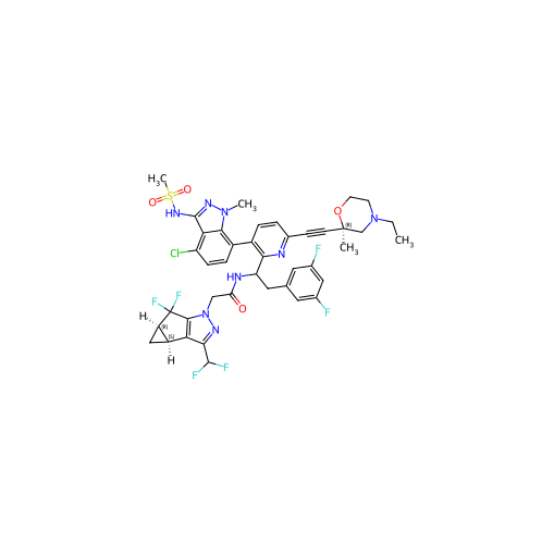 CCN1CCO[C@](C)(C#Cc2ccc(-c3ccc(Cl)c4c(NS(C)(=O)=O)nn(C)c34)c(C(Cc3cc(F)cc(F)c3)NC(=O)Cn3nc(C(F)F)c4c3C(F)(F)[C@@H]3C[C@H]43)n2)C1